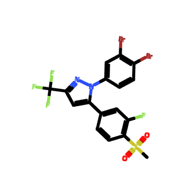 CS(=O)(=O)c1ccc(-c2cc(C(F)(F)F)nn2-c2ccc(Br)c(Br)c2)cc1F